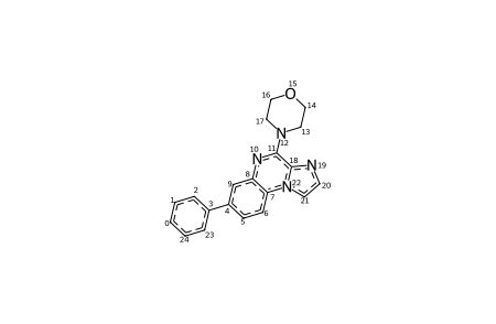 c1ccc(-c2ccc3c(c2)nc(N2CCOCC2)c2nccn23)cc1